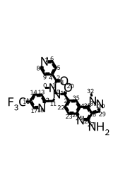 CN(C(=O)c1ccncc1)N(Cc1ccc(C(F)(F)F)cn1)C(=O)c1ccc2nc(N)c3cnn(C)c3c2c1